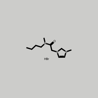 Br.CCCCN(C)C(=O)CN1C=CN(C)C1